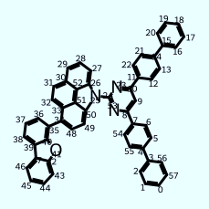 c1ccc(-c2ccc(-c3cc(-c4ccc(-c5ccccc5)cc4)nc(-n4c5cccc6ccc7c(-c8cccc9c8oc8ccccc89)ccc4c7c65)n3)cc2)cc1